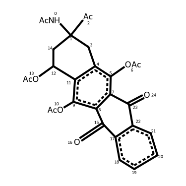 CC(=O)NC1(C(C)=O)Cc2c(OC(C)=O)c3c(c(OC(C)=O)c2C(OC(C)=O)C1)C(=O)c1ccccc1C3=O